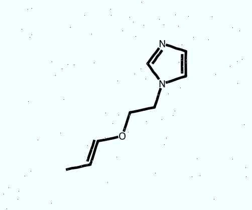 CC=COCCn1ccnc1